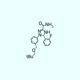 CC(C)(C)COCc1cccc(N2N=C(C(N)=O)NC2c2ccccc2F)c1